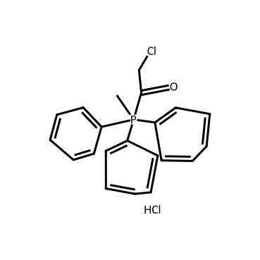 CP(C(=O)CCl)(c1ccccc1)(c1ccccc1)c1ccccc1.Cl